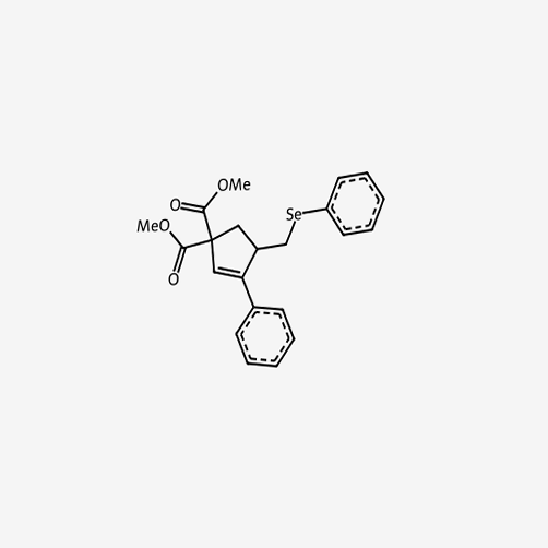 COC(=O)C1(C(=O)OC)C=C(c2ccccc2)C(C[Se]c2ccccc2)C1